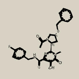 CC(=O)N1C[C@H](OCc2ccccc2)C[C@H]1c1nc(C(=O)NCc2ccc(F)cc2)c(O)c(=O)n1C